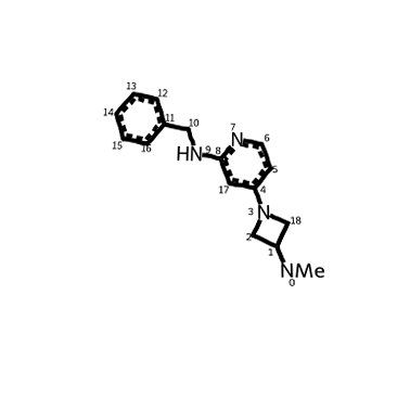 CNC1CN(c2ccnc(NCc3ccccc3)c2)C1